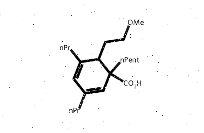 CCCCCC1(C(=O)O)C=C(CCC)C=C(CCC)C1CCOC